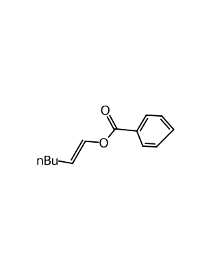 CCCCC=COC(=O)c1ccccc1